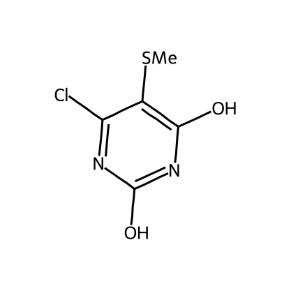 CSc1c(O)nc(O)nc1Cl